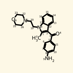 Cc1c(C(=O)c2ccc(N)cc2)c2ccccc2n1CCN1CCOCC1